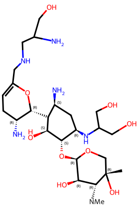 CN[C@@H]1[C@@H](O)[C@@H](O[C@H]2[C@H](NC(CO)CO)C[C@H](N)C([C@H]3OC(CNCC(N)CO)=CC[C@H]3N)[C@@H]2O)OC[C@]1(C)O